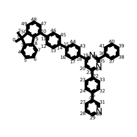 CC1(C)c2ccccc2-c2c(-c3ccc(-c4ccc(-c5cc(-c6ccc(-c7cccnc7)cc6)nc(-c6ccccc6)n5)cc4)cc3)cccc21